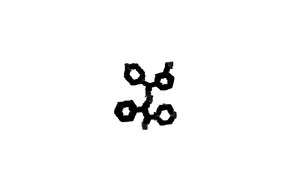 O=C(C(=S)N1CCOCC1)c1ccccc1.S=C(c1cccc(Cl)c1)N1CCOCC1